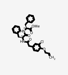 C=CCOc1ccc(CC(=O)N[C@@H](Cc2ccccc2)C(=O)N[C@@H](Cc2ccccc2)C(=O)OC)cc1Cl